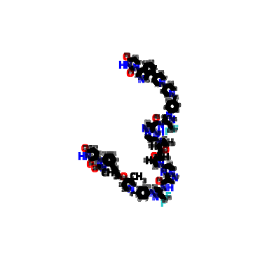 C[C@H]1CN(C[C@H]2CC[C@H](n3cc(NC(=O)c4cnn5ccc(N6C[C@H]7C[C@@H]6C(C6O[C@@H]8C[C@H]6N(c6ccn9ncc(C(=O)Nc%10cn([C@H]%11CC[C@H](CN%12CCC(N%13CCC(c%14cccc%15c(N%16CCC(=O)NC%16=O)cncc%14%15)CC%13)CC%12)CC%11)nc%10C(F)F)c9n6)C8)O7)nc45)c(C(F)F)n3)CC2)CC[C@@H]1OCC#Cc1cccc2c1n(C)c(=O)n2[C@@H]1CCC(=O)NC1=O